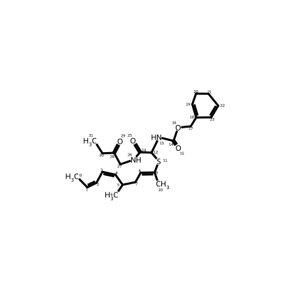 C/C=C\C=C/C(C)CC=C(C)SC(NC(=O)OCC1=CCCC=C1)C(=O)NCC(=O)CC